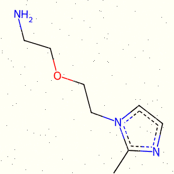 Cc1nccn1CCOCCN